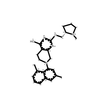 Cc1cc(N2CCc3c(O)nc(OC[C@@H]4CCCN4C)nc3C2)c2c(C)cccc2c1